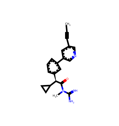 CC#Cc1cncc(-c2cccc([C@@H](C(=O)N(C)C(=N)N)C3CC3)c2)c1